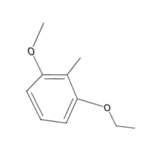 CCOc1cccc(OC)c1C